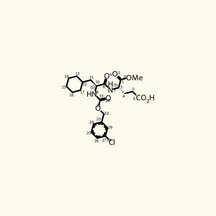 COC(=O)[C@H](CCC(=O)O)NC(=O)[C@H](CC1CCCCC1)NC(=O)OCc1cccc(Cl)c1